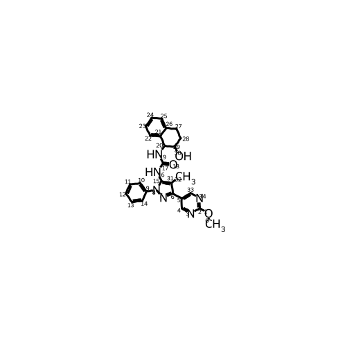 COc1ncc(-c2nn(-c3ccccc3)c(NC(=O)NC3c4ccccc4CCC3O)c2C)cn1